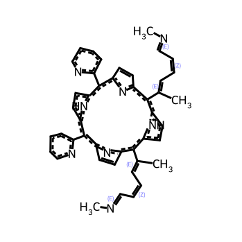 C/N=C/C=C\C=C(/C)c1c2nc(c(-c3ccccn3)c3ccc([nH]3)c(-c3ccccn3)c3nc(c(/C(C)=C/C=C\C=N\C)c4ccc1[nH]4)C=C3)C=C2